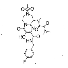 CN(C)C(=O)C(=O)N(C)C1CN(S(C)(=O)=O)CCn2c1nc(C(=O)NCc1ccc(F)cc1)c(O)c2=O